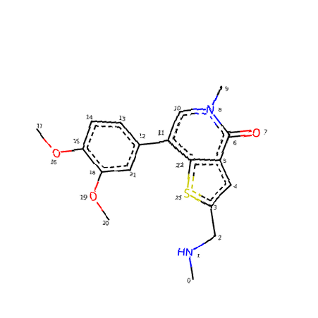 CNCc1cc2c(=O)n(C)cc(-c3ccc(OC)c(OC)c3)c2s1